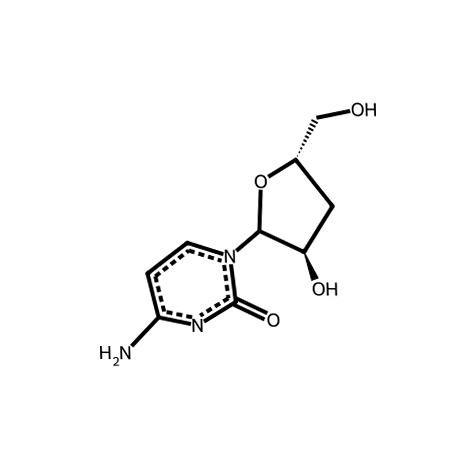 Nc1ccn(C2O[C@H](CO)C[C@H]2O)c(=O)n1